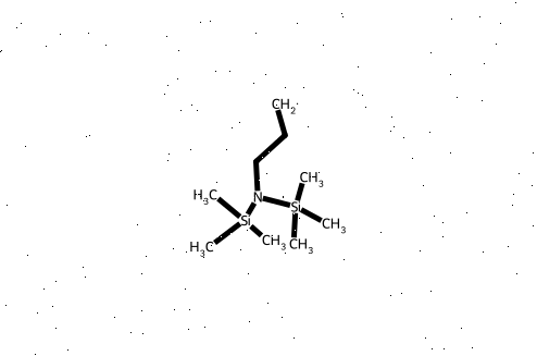 [CH2]CCN([Si](C)(C)C)[Si](C)(C)C